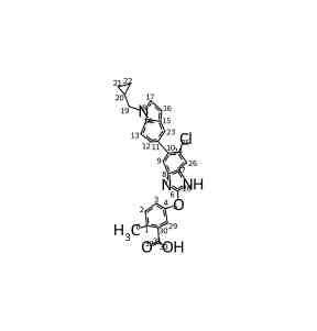 Cc1ccc(Oc2nc3cc(-c4ccc5c(ccn5CC5CC5)c4)c(Cl)cc3[nH]2)cc1C(=O)O